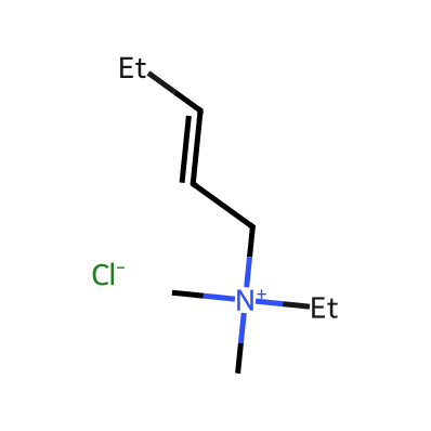 CCC=CC[N+](C)(C)CC.[Cl-]